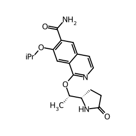 CC(C)Oc1cc2c(O[C@@H](C)[C@@H]3CCC(=O)N3)nccc2cc1C(N)=O